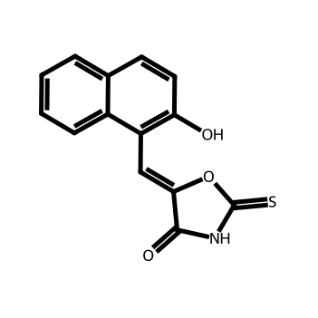 O=C1NC(=S)OC1=Cc1c(O)ccc2ccccc12